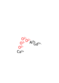 [Al+3].[Ca+2].[Gd+3].[O-2].[O-2].[O-2].[O-2]